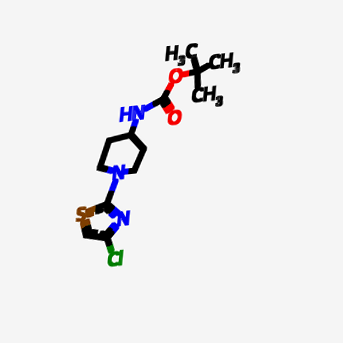 CC(C)(C)OC(=O)NC1CCN(c2nc(Cl)cs2)CC1